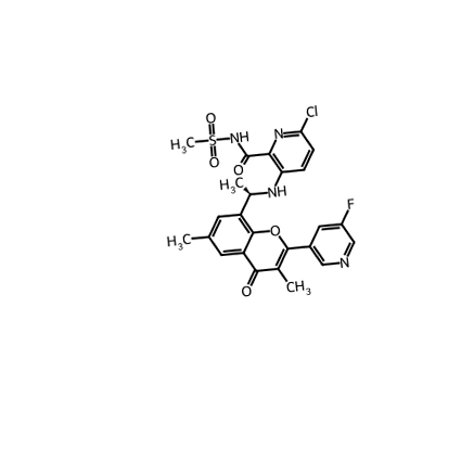 Cc1cc([C@@H](C)Nc2ccc(Cl)nc2C(=O)NS(C)(=O)=O)c2oc(-c3cncc(F)c3)c(C)c(=O)c2c1